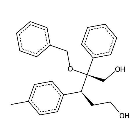 Cc1ccc([C@H](CCO)[C@](CO)(OCc2ccccc2)c2ccccc2)cc1